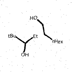 CCC(O)C(C)(C)C.CCCCCCCCO